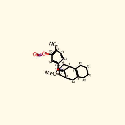 CO/C(=C1\C2CCCC1C1=C(CCCC1)C2)c1ccc(C#N)c(OP=O)c1